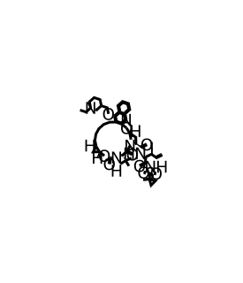 C=C[C@H](I)C(NC(=O)[C@@H]1C[C@@H]2CN1C(=O)[C@H](C(C)(C)C)NC(=O)O[C@@H]1C[C@H]1CCCCCc1c(nc3ccccc3c1OCC1CCCN(CC)C1)O2)C(=O)NS(=O)(=O)C1(C)CC1